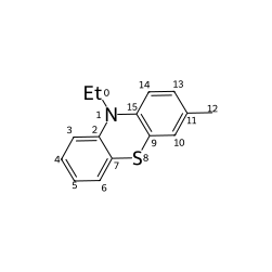 CCN1c2ccccc2Sc2cc(C)ccc21